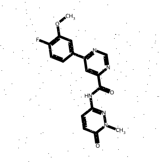 COc1cc(-c2cc(C(=O)Nc3ccc(=O)n(C)n3)ncn2)ccc1F